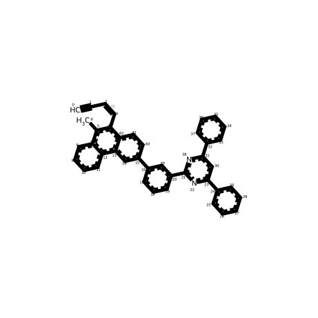 C#C/C=C\c1c(C)c2ccccc2c2cc(-c3cccc(-c4nc(-c5ccccc5)cc(-c5ccccc5)n4)c3)ccc12